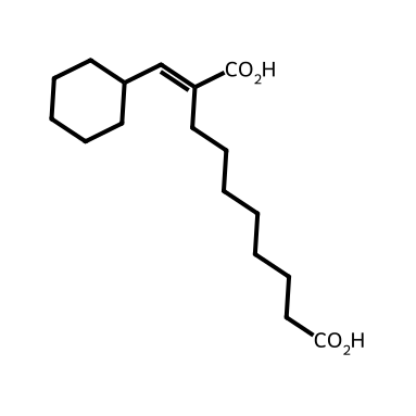 O=C(O)CCCCCCCC(=CC1CCCCC1)C(=O)O